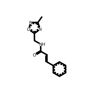 Cc1noc(CNC(=O)/C=C/c2ccccc2)n1